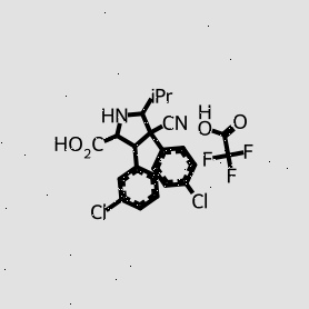 CC(C)C1NC(C(=O)O)C(c2cccc(Cl)c2)C1(C#N)c1ccc(Cl)cc1.O=C(O)C(F)(F)F